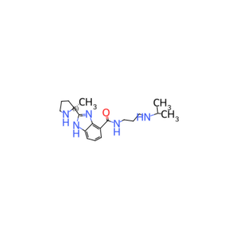 CC(C)NCCCNC(=O)c1cccc2[nH]c([C@]3(C)CCCN3)nc12